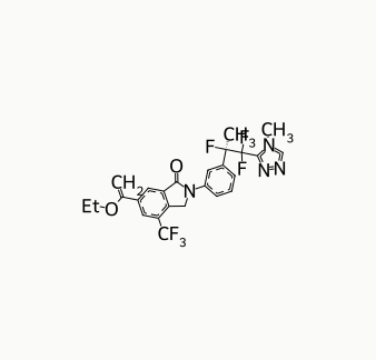 C=C(OCC)c1cc2c(c(C(F)(F)F)c1)CN(c1cccc([C@@](C)(F)C(F)(F)c3nncn3C)c1)C2=O